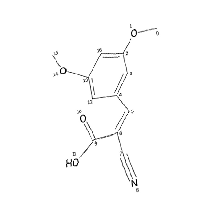 COc1cc(/C=C(/C#N)C(=O)O)cc(OC)c1